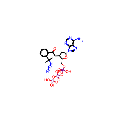 CC(C)(N=[N+]=[N-])c1ccccc1C(=O)CC1C[C@H](n2cnc3c(N)ncnc32)O[C@@H]1COP(=O)(O)OP(=O)(O)OP(=O)(O)O